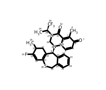 Cc1c2n(ccc1=O)N([C@@H]1C3=C(C=C(F)C(C)C3)SCc3ccccc31)CN([C@@H](C)C(F)(F)F)C2=O